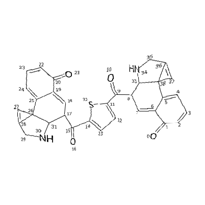 O=C1C=CC=C2C1=CC(C(=O)c1ccc(C(=O)C3C=C4C(=O)C=CC=C4C45C=C4CNC35)s1)C1NCC3=CC321